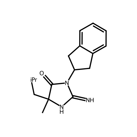 CC(C)CC1(C)NC(=N)N(C2Cc3ccccc3C2)C1=O